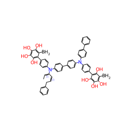 Bc1c(O)c(O)c(O)c(-c2ccc(N(c3ccc(-c4ccccc4)cc3)c3ccc(-c4ccc(N(C(/C=C\Cc5ccccc5)=C/C)c5ccc(-c6c(B)c(O)c(O)c(O)c6O)cc5)cc4)cc3)cc2)c1O